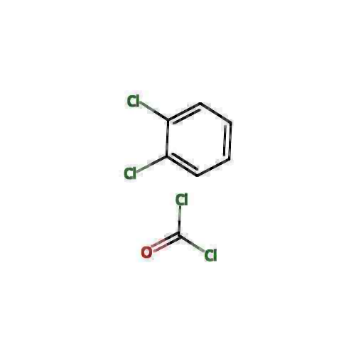 Clc1ccccc1Cl.O=C(Cl)Cl